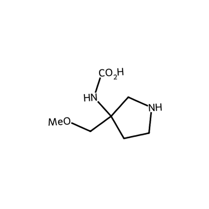 COCC1(NC(=O)O)CCNC1